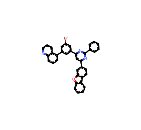 Brc1cc(-c2cc(-c3ccc4c(c3)oc3ccccc34)nc(-c3ccccc3)n2)cc(-c2cccc3ncccc23)c1